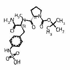 CN(C(=O)[C@@H]1CCCN1C(=O)OC(C)(C)C)[C@@H](Cc1ccc(NS(=O)(=O)O)cc1)C(N)=O